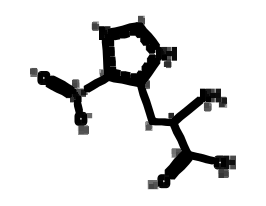 NC(Cc1[nH]cnc1[N+](=O)[O-])C(=O)O